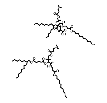 CCCCCCCCCCCOC(=O)CCNC(=O)[C@H](C(C)(C)COC(=O)CCN(C)C)C(CCC(=O)O)(CC(CCCCCC)CCCCCCCC)C(=O)O.CCCCCCCCCCCOC(=O)CCNC(=O)[C@H](OC(=O)CCCC(=O)OCC(CCCCCC)CCCCCCCC)C(C)(C)COC(=O)CCN(C)C